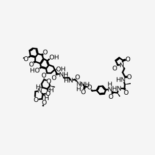 COc1cccc2c1C(=O)c1c(O)c3c(c(O)c1C2=O)C[C@@](O)(C(=O)NCCNC(=O)NNC(=O)OCc1ccc(NC(=O)[C@H](C)NC(=O)[C@H](C)NC(=O)CCN2C(=O)C=CC2=O)cc1)C[C@@H]3O[C@H]1C[C@H]2[C@H](O[C@@H]3[C@@H](OC)OCCN32)[C@H](C)O1